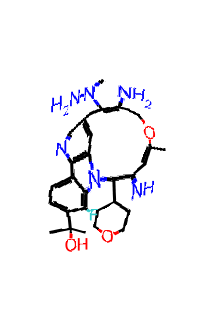 C/C1=C/C(=N)C(C2CCOCC2)n2c3cc(cnc3c3ccc(C(C)(C)O)c(F)c32)/C(N(C)N)=C(/N)CO1